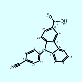 N#Cc1ccc(-n2c3ccccc3c3cc(B(O)O)ccc32)cc1